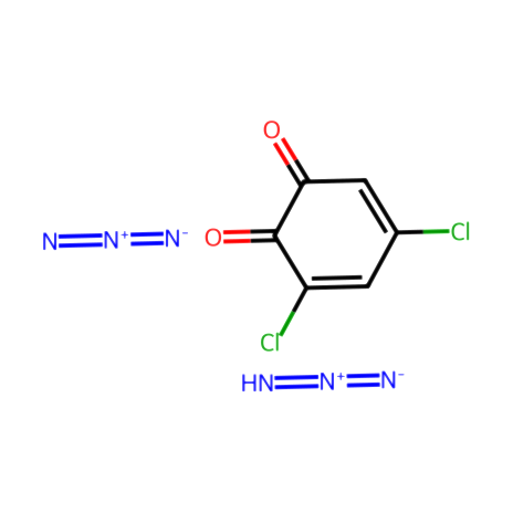 O=C1C=C(Cl)C=C(Cl)C1=O.[N-]=[N+]=N.[N-]=[N+]=[N-]